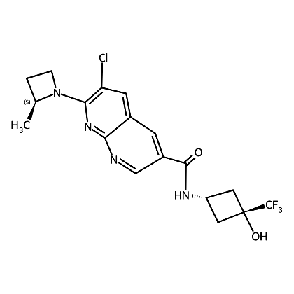 C[C@H]1CCN1c1nc2ncc(C(=O)N[C@H]3C[C@](O)(C(F)(F)F)C3)cc2cc1Cl